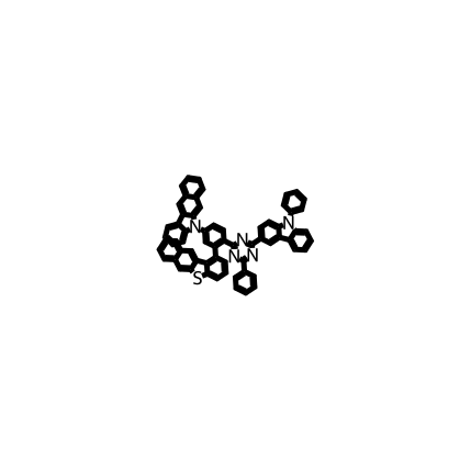 c1ccc(-c2nc(-c3ccc4c(c3)c3ccccc3n4-c3ccccc3)nc(-c3ccc(-n4c5ccccc5c5cc6ccccc6cc54)cc3-c3cccc4sc5cc6ccccc6cc5c34)n2)cc1